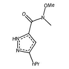 CCCc1cc(C(=O)N(C)OC)[nH]n1